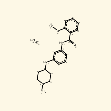 CN1CCC(Nc2cccc(NC(=O)c3ccccc3OC(F)(F)F)c2)CC1.Cl.Cl